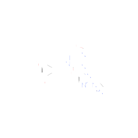 CCCc1cc(N2CCN(C(C)=O)CC2C(=O)NCCc2cc(OC)cc(OC)c2)nc(-n2ccnc2)n1